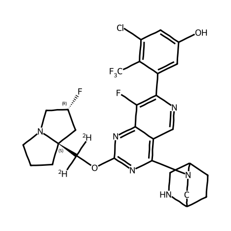 [2H]C([2H])(Oc1nc(N2CC3CCC2CN3)c2cnc(-c3cc(O)cc(Cl)c3C(F)(F)F)c(F)c2n1)[C@@]12CCCN1C[C@H](F)C2